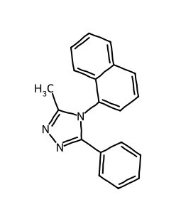 Cc1nnc(-c2ccccc2)n1-c1cccc2ccccc12